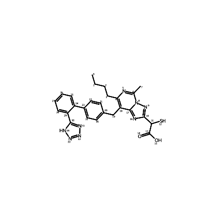 CCCCc1nc(C)n2nc(C(S)C(=O)O)nc2c1Cc1ccc(-c2ccccc2-c2nnn[nH]2)cc1